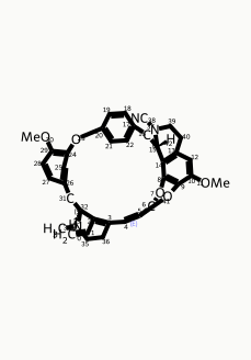 C=CC1=C2/C=C3\COc4c(c(OC)cc5c4[C@H](Cc4ccc(cc4)Oc4cc(ccc4OC)C[C@@H]1N(C)CC2)N(C#N)CC5)O3